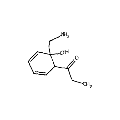 CCC(=O)C1C=CC=CC1(O)CN